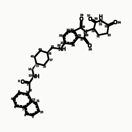 O=C(Cc1cccc2ccccc12)NC[C@H]1CC[C@H](CNc2ccc3c(c2)C(=O)N(C2CCC(=O)NC2=O)C3=O)CC1